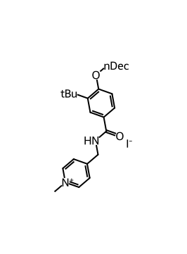 CCCCCCCCCCOc1ccc(C(=O)NCc2cc[n+](C)cc2)cc1C(C)(C)C.[I-]